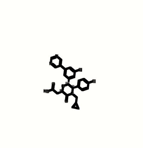 O=C(O)C[C@H]1O[C@H](c2cc(Cl)cc(-c3cncnc3)c2)[C@@H](c2ccc(Cl)cc2)N(CC2CC2)C1=O